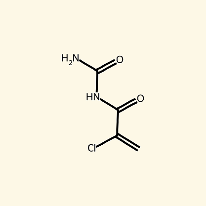 C=C(Cl)C(=O)NC(N)=O